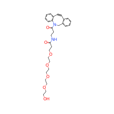 O=C(CCOCCOCCOCCOCCO)NCCC(=O)N1Cc2ccccc2C#Cc2ccccc21